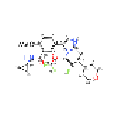 COc1ccc(-c2cnc3cc(C4CCOCC4)c(F)cn23)c(OC(F)F)c1C(=O)NC1CC1